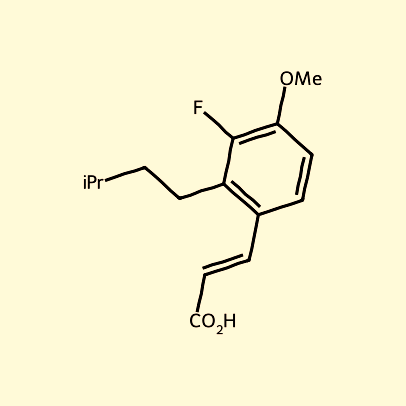 COc1ccc(C=CC(=O)O)c(CCC(C)C)c1F